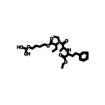 CCOC(=O)C(CCc1ccccc1)NC(C)C(=O)N(CC)C(CC)C(=O)OCCCCON(O)O